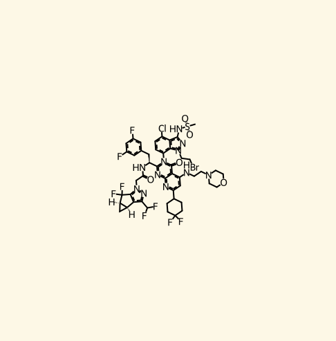 CS(=O)(=O)Nc1nn(CCBr)c2c(-n3c([C@H](Cc4cc(F)cc(F)c4)NC(=O)Cn4nc(C(F)F)c5c4C(F)(F)[C@@H]4C[C@H]54)nc4nc(C5CCC(F)(F)CC5)cc(NCCN5CCOCC5)c4c3=O)ccc(Cl)c12